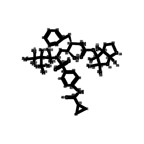 [2H]C([2H])([2H])C([2H])(C([2H])([2H])[2H])C([2H])([2H])N(C[C@@H](O)[C@H](Cc1ccccc1)NC(=O)O[C@]1([2H])[C@@H]2CCO[C@@H]2OC1([2H])[2H])S(=O)(=O)c1ccc(NC(=O)C2CC2)cc1